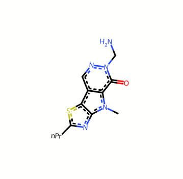 CCCc1nc2c(s1)c1cnn(CN)c(=O)c1n2C